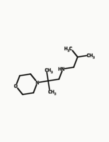 CC(C)CNCC(C)(C)N1CCOCC1